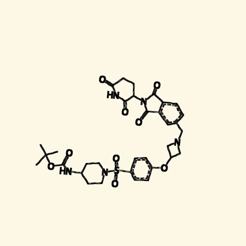 CC(C)(C)OC(=O)NC1CCN(S(=O)(=O)c2ccc(OC3CN(Cc4ccc5c(c4)C(=O)N(C4CCC(=O)NC4=O)C5=O)C3)cc2)CC1